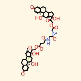 C[C@@H]1CC2C3CCC4=CC(=O)C=C[C@]4(C)[C@@]3(F)[C@@H](O)C[C@]2(C)[C@@]1(O)C(=O)COC(=O)CCC(=O)NCC(=O)N(C)CC(=O)OCC(=O)[C@@]1(O)CCC2C3CCC4=CC(=O)C=C[C@]4(C)C3[C@@H](O)C[C@@]21C